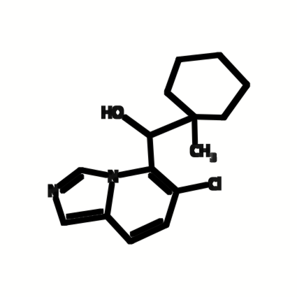 CC1(C(O)c2c(Cl)ccc3cncn23)CCCCC1